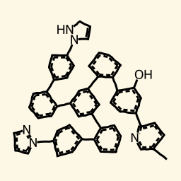 Cc1ccc(-c2ccc(-c3ccccc3-c3cc(-c4ccccc4-c4ccc(N5C=CCN5)cc4)cc(-c4ccccc4-c4ccc(-n5cccn5)cc4)c3)c(O)c2)nc1